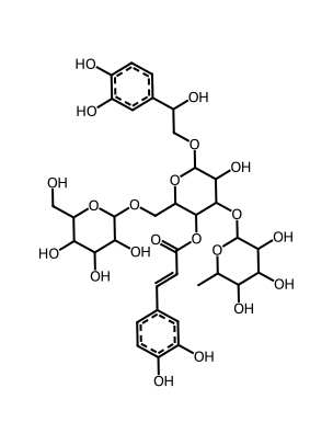 CC1OC(OC2C(O)C(OCC(O)c3ccc(O)c(O)c3)OC(COC3OC(CO)C(O)C(O)C3O)C2OC(=O)C=Cc2ccc(O)c(O)c2)C(O)C(O)C1O